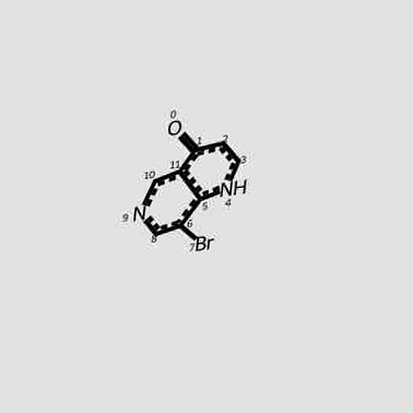 O=c1cc[nH]c2c(Br)cncc12